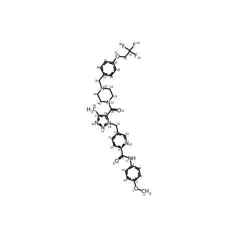 COc1ccc(NC(=O)c2ccc(Cn3nnc(C)c3C(=O)N3CCN(Cc4ccc(OCC(F)(F)F)cc4)CC3)cn2)cc1